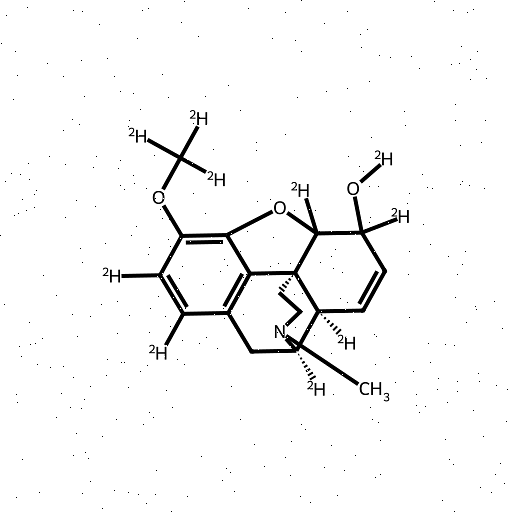 [2H]OC1([2H])C=C[C@@]2([2H])[C@@]3([2H])Cc4c([2H])c([2H])c(OC([2H])([2H])[2H])c5c4[C@@]2(CCN3C)C1([2H])O5